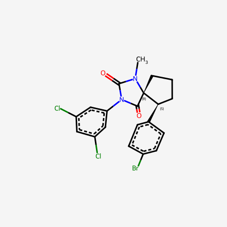 CN1C(=O)N(c2cc(Cl)cc(Cl)c2)C(=O)[C@]12CCC[C@H]2c1ccc(Br)cc1